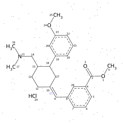 COC(=O)c1cccc(/C=C2/CCC(CN(C)C)C(c3cccc(OC)c3)C2)c1.Cl